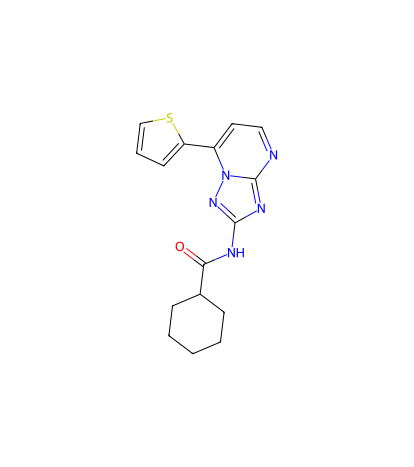 O=C(Nc1nc2nccc(-c3cccs3)n2n1)C1CCCCC1